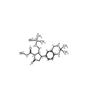 CC(C)(C)OC(=O)N1C(=O)CC(c2ccc3c(c2)COC(C)(C)O3)C1CO[Si](C)(C)C(C)(C)C